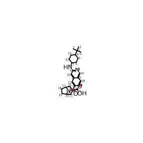 CC(C)(C)C1CCC(Nc2cc3cc(C(=O)N4C5CCC4CC(C(=O)O)C5)ccc3cn2)CC1